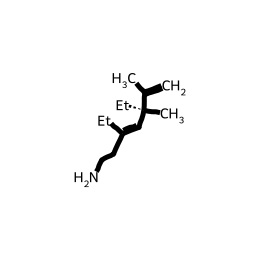 C=C(C)[C@@](C)(/C=C(\CC)CCN)CC